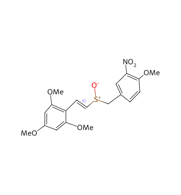 COc1cc(OC)c(/C=C/[S+]([O-])Cc2ccc(OC)c([N+](=O)[O-])c2)c(OC)c1